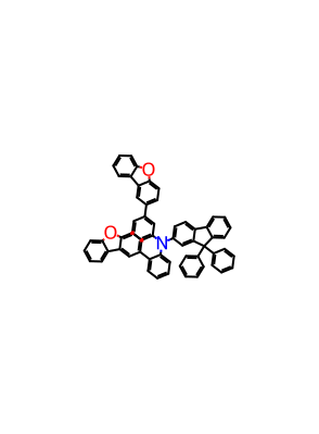 c1ccc(C2(c3ccccc3)c3ccccc3-c3ccc(N(c4cccc(-c5ccc6oc7ccccc7c6c5)c4)c4ccccc4-c4ccc5oc6ccccc6c5c4)cc32)cc1